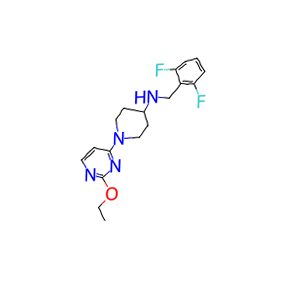 CCOc1nccc(N2CCC(NCc3c(F)cccc3F)CC2)n1